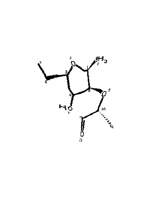 B[C@@H]1O[C@H](CC)C(O)[C@@H]1O[C@H](C)C=O